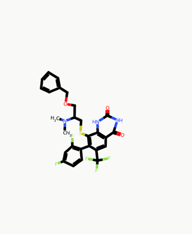 CN(C)C(COCc1ccccc1)CSc1c(-c2ccc(F)cc2F)c(C(F)(F)F)cc2c(=O)[nH]c(=O)[nH]c12